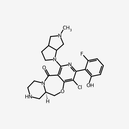 CN1CC2CCN(c3nc(-c4c(O)cccc4F)c(Cl)c4c3C(=O)N3CCNC[C@@H]3CO4)C2C1